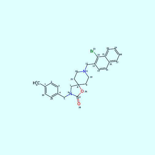 Cc1ccc(CN2CC3(CCN(Cc4ccc5ccccc5c4Br)CC3)OC2=O)cc1